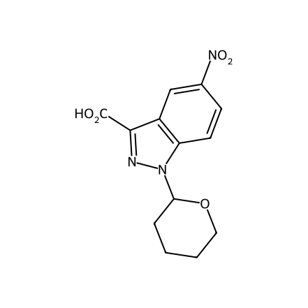 O=C(O)c1nn(C2CCCCO2)c2ccc([N+](=O)[O-])cc12